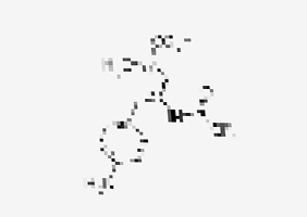 C[C@@H](C[C@H](Cc1ccc(N)cc1)NC(=O)C(F)(F)F)C(=O)O